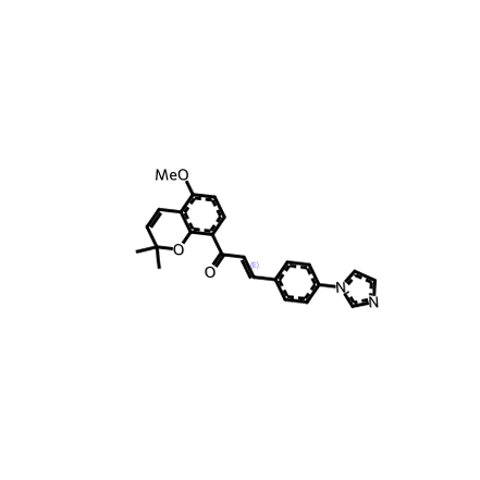 COc1ccc(C(=O)/C=C/c2ccc(-n3ccnc3)cc2)c2c1C=CC(C)(C)O2